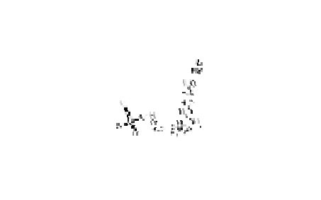 O.O.O.O.O.O.O.O.O.O.[Na+].[Na+].[O]=[W](=[O])([O-])[O-]